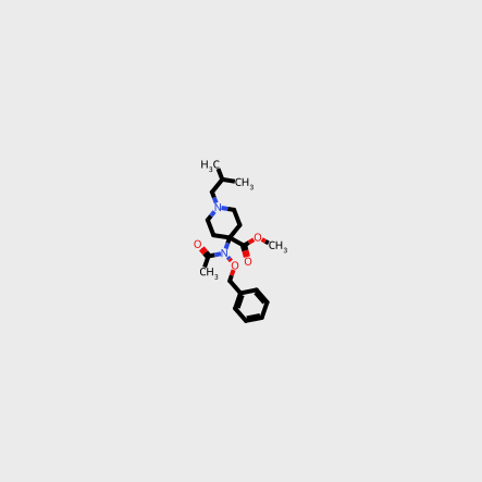 COC(=O)C1(N(OCc2ccccc2)C(C)=O)CCN(CC(C)C)CC1